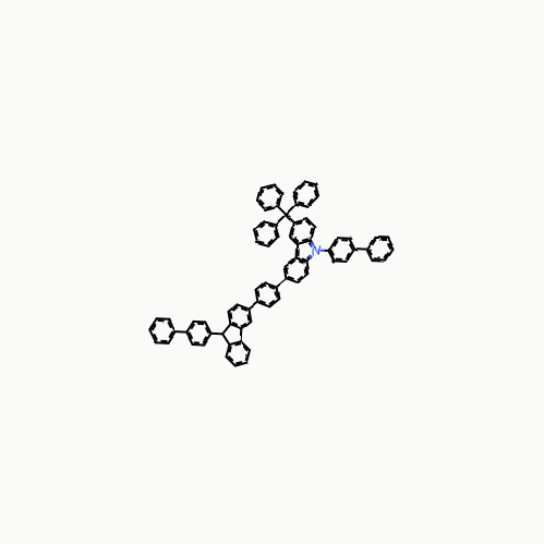 c1ccc(-c2ccc(C3c4ccccc4-c4cc(-c5ccc(-c6ccc7c(c6)c6cc(C(c8ccccc8)(c8ccccc8)c8ccccc8)ccc6n7-c6ccc(-c7ccccc7)cc6)cc5)ccc43)cc2)cc1